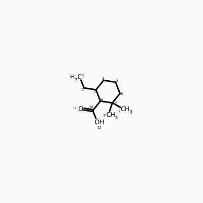 CCC1CCCC(C)(C)C1C(=O)O